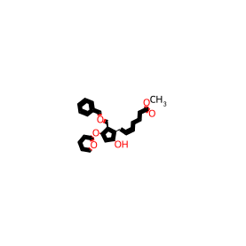 COC(=O)CCC/C=C\C[C@H]1[C@H](COCc2ccccc2)[C@@H](OC2CCCCO2)C[C@H]1O